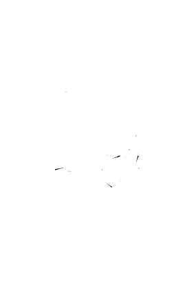 OC1[C@@H](O)C(COP(O)O)O[C@@H](O[C@@H]2C3COC2C(O)(O)[C@H](O)O3)[C@H]1O